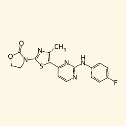 Cc1nc(N2CCOC2=O)sc1-c1ccnc(Nc2ccc(F)cc2)n1